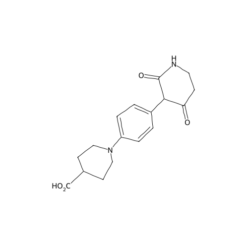 O=C(O)C1CCN(c2ccc(C3C(=O)CCNC3=O)cc2)CC1